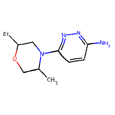 CCC1CN(c2c[c]c(N)nn2)C(C)CO1